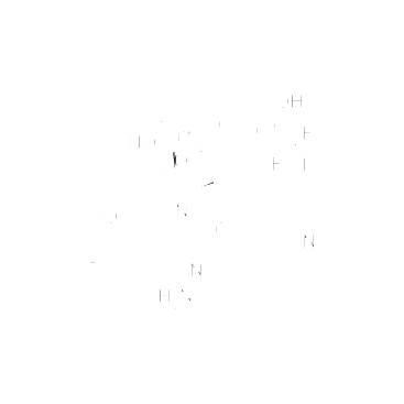 COc1cc([C@H](C(=O)N2CC[C@@H](C(=O)O)[C@H]2c2ccccc2S(=O)(=O)C2CC2)N(N)c2ccc3cnccc3c2)ccc1F.O=C(O)C(F)(F)F